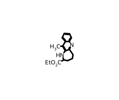 CCOC(=O)C1CCCc2nc3ccccc3c(C)c2N1